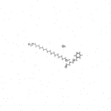 CCCCCCCCCCCCCCCCCCOC[C@@H](CC=O)COCc1ccccc1.[Os]